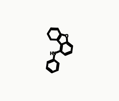 C1=Cc2oc3cccc(Nc4ccccc4)c3c2CC1